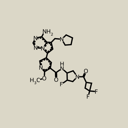 COc1ncc(-c2cc(CN3CCCC3)c3c(N)ncnn23)cc1C(=O)NC1CN(C(=O)C2CC(F)(F)C2)CC1F